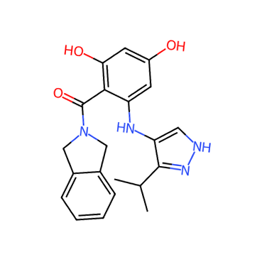 CC(C)c1n[nH]cc1Nc1cc(O)cc(O)c1C(=O)N1Cc2ccccc2C1